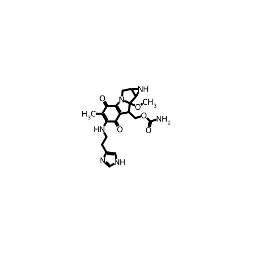 COC12C(COC(N)=O)C3=C(C(=O)C(C)=C(NCCc4c[nH]cn4)C3=O)N1CC1NC12